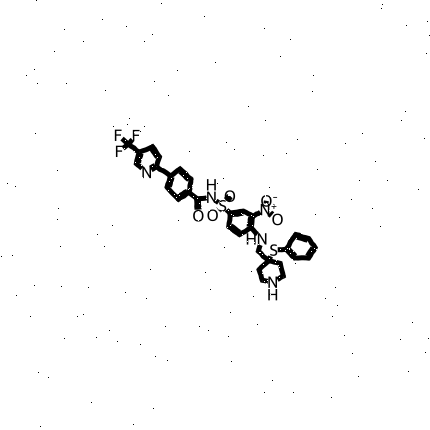 O=C(NS(=O)(=O)c1ccc(NCC2(Sc3ccccc3)CCNCC2)c([N+](=O)[O-])c1)c1ccc(-c2ccc(C(F)(F)F)cn2)cc1